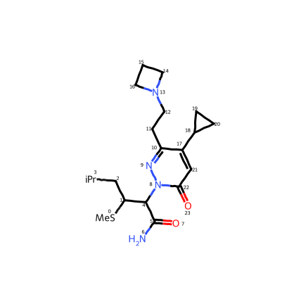 CSC(CC(C)C)C(C(N)=O)n1nc(CCN2CCC2)c(C2CC2)cc1=O